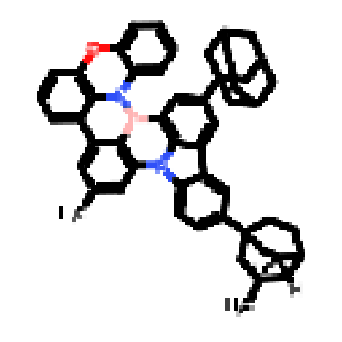 Cc1cc2c3c(c1)-n1c4ccc(C56CCC(CC(C)C5)[C@H](C)C6)cc4c4cc(C56CC7CC(CC(C7)C5)C6)cc(c41)B3N1c3ccccc3Oc3cccc-2c31